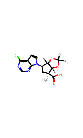 CC1(C)O[C@H]2[C@H](n3ccc4c(Cl)ncnc43)C[C@](C)(C(=O)O)[C@H]2O1